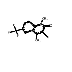 Cc1c(I)c(=O)n(C)c2ccc(C(F)(F)F)cc12